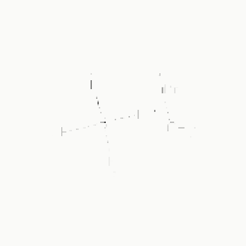 F[B-](F)(F)F.[CH2]C(C)C